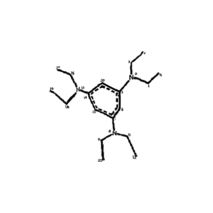 CCN(CC)c1[c]c(N(CC)CC)cc(N(CC)CC)c1